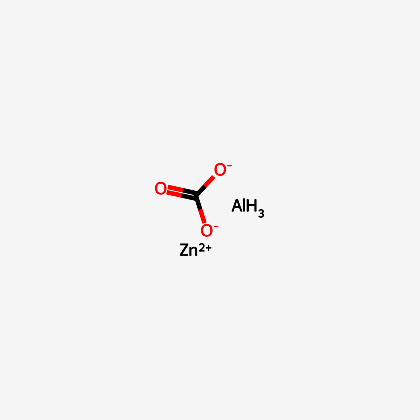 O=C([O-])[O-].[AlH3].[Zn+2]